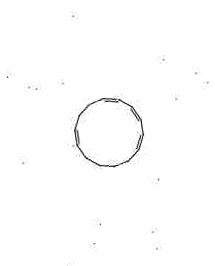 [C]1=CCCC=CC=CC=CCCCC1